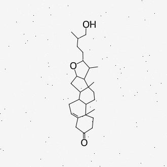 CC(CO)CCC1OC2CC3C4CC=C5CC(=O)CCC5(C)C4CCC3(C)C2C1C